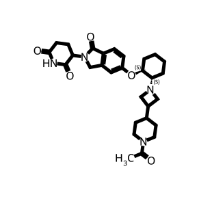 CC(=O)N1CCC(C2CN([C@H]3CCCC[C@@H]3Oc3ccc4c(c3)CN(C3CCC(=O)NC3=O)C4=O)C2)CC1